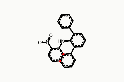 O=[N+]([O-])c1ccccc1Nc1c(-c2ccccc2)cccc1-c1ccccc1